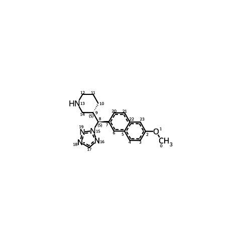 COc1ccc2cc([C@H]([C@H]3CCCNC3)n3ncnn3)ccc2c1